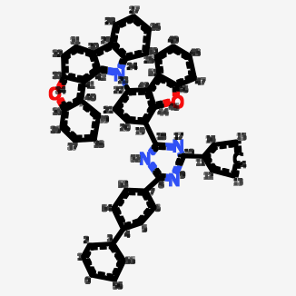 c1ccc(-c2ccc(-c3nc(-c4ccccc4)nc(-c4ccc(-n5c6ccccc6c6ccc7oc8ccccc8c7c65)c5c4oc4ccccc45)n3)cc2)cc1